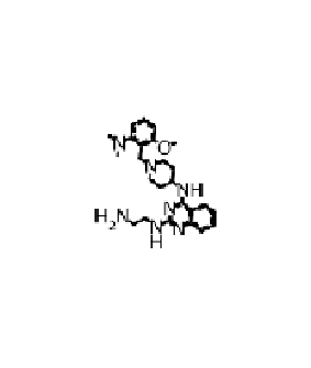 COc1cccc(N(C)C)c1CN1CCC(Nc2nc(NCCN)nc3ccccc23)CC1